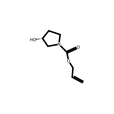 C=CCOC(=O)N1CC[C@@H](O)C1